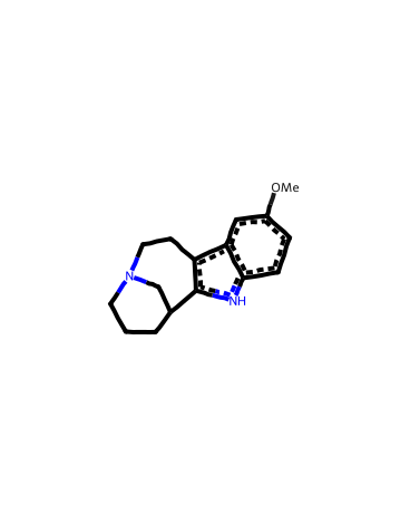 COc1ccc2[nH]c3c(c2c1)CCN1CCCC3C1